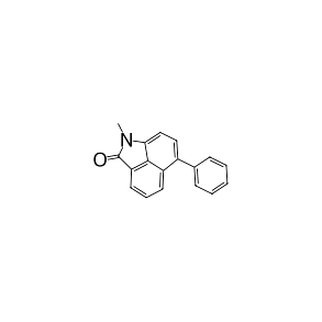 CN1C(=O)c2cccc3c(-c4ccccc4)ccc1c23